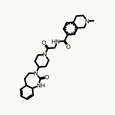 CN1CCc2ccc(C(=O)NCC(=O)N3CCC(N4CCC5C=CC=CC5NC4=O)CC3)cc2C1